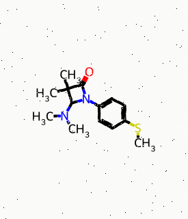 CSc1ccc(N2C(=O)C(C)(C)C2N(C)C)cc1